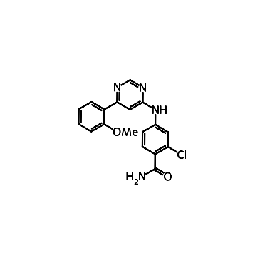 COc1ccccc1-c1cc(Nc2ccc(C(N)=O)c(Cl)c2)ncn1